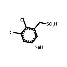 O=S(=O)(O)Cc1cccc(Cl)c1Cl.[NaH]